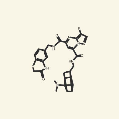 CN(C)C12C3C4C1C1C2C3C41CNC(=O)c1cc(C(=O)NCc2ccc3c(c2)NC(=O)CO3)nc2c(F)cnn12